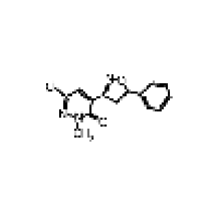 Cn1nc(Cl)cc(C2=NOC(c3ccccc3)C2)c1=O